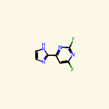 Fc1cc(-c2ncc[nH]2)nc(F)n1